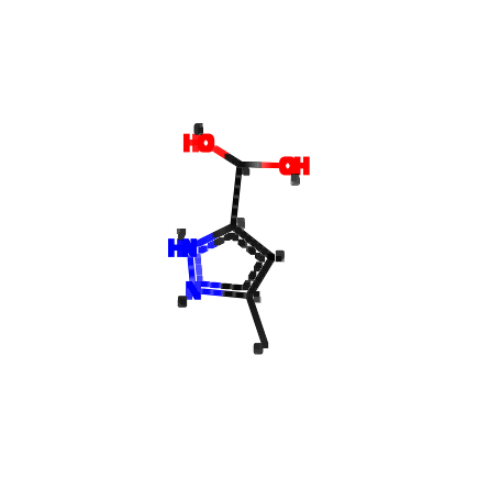 Cc1cc(C(O)O)[nH]n1